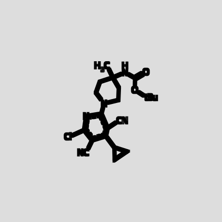 CC1(NC(=O)OC(C)(C)C)CCN(c2nc(Cl)c(C#N)c(C3CC3)c2C#N)CC1